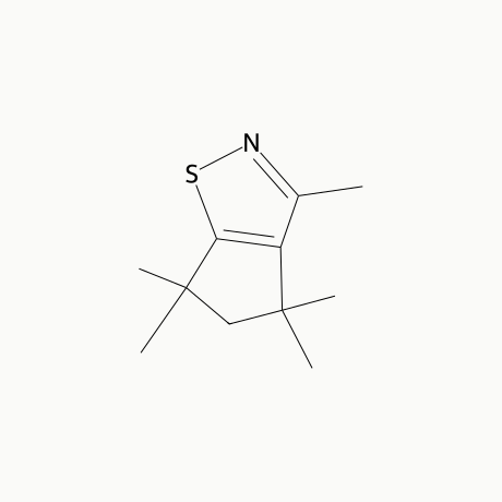 Cc1nsc2c1C(C)(C)CC2(C)C